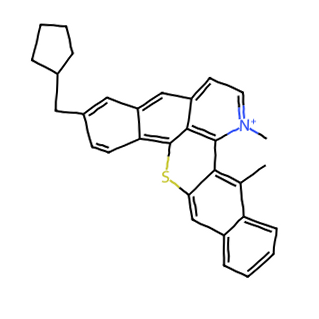 Cc1c2c(cc3ccccc13)Sc1c3ccc(CC4CCCC4)cc3cc3cc[n+](C)c-2c13